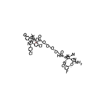 COc1ccc(C2=N[C@H](c3ccc(Cl)cc3)[C@H](c3ccc(Cl)cc3)N2C(=O)N2CCN(CCOCCOCCOCCOCCC(=O)NCCn3nc(C#N)c4c3CN(C)C(=O)c3ccc(F)cc3[C@@H](C)Oc3cc-4cnc3N)C(=O)C2)c(OC(C)C)c1